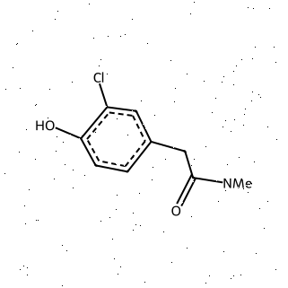 CNC(=O)Cc1ccc(O)c(Cl)c1